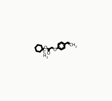 C=Cc1ccc(OCC(=O)OC2(C)CCCCC2)cc1